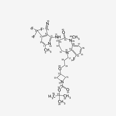 Cc1cc(C(F)(F)F)c(C#N)c(N[C@H]2CCN(CCCOC3CN(C(=O)OC(C)(C)C)C3)c3c(F)cccc3N(C)C2=O)n1